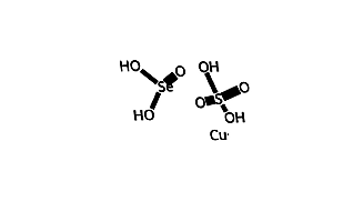 O=S(=O)(O)O.O=[Se](O)O.[Cu]